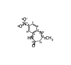 CC1=Nc2ccc([N+](=O)[O-])cc2NC(=O)C1